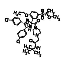 CCOc1ccc(S(=O)(=O)N(C)OC)cc1C1(C(=O)N2CCN(CC(=O)NC(C)(C)C)CC2)N[C@H](c2ccc(Cl)cc2)[C@H](c2ccc(Cl)cc2)N1